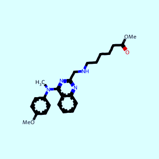 COC(=O)CCCCCNCc1nc(N(C)c2ccc(OC)cc2)c2ccccc2n1